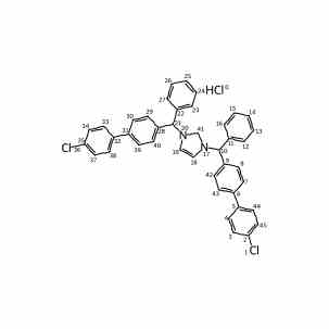 Cl.Clc1ccc(-c2ccc(C(c3ccccc3)N3C=CN(C(c4ccccc4)c4ccc(-c5ccc(Cl)cc5)cc4)C3)cc2)cc1